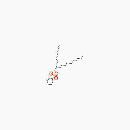 CCCCCCCCCCC(CCCCCCCC)COS(=O)(=O)c1ccccc1